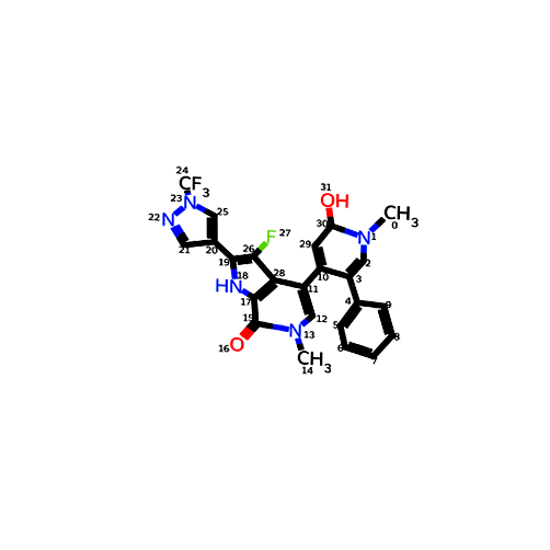 CN1C=C(c2ccccc2)C(c2cn(C)c(=O)c3[nH]c(-c4cnn(C(F)(F)F)c4)c(F)c23)=CC1O